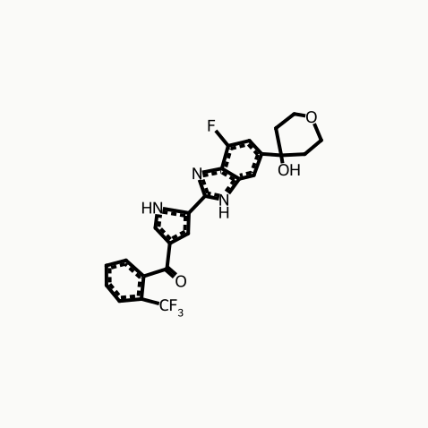 O=C(c1c[nH]c(-c2nc3c(F)cc(C4(O)CCOCC4)cc3[nH]2)c1)c1ccccc1C(F)(F)F